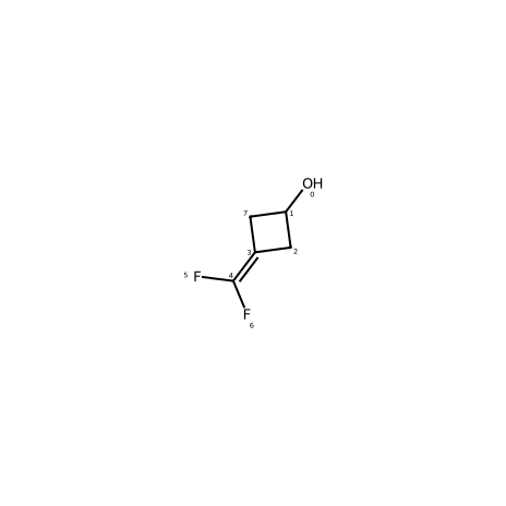 OC1CC(=C(F)F)C1